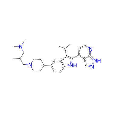 CC(CN(C)C)CN1CCC(c2ccc3[nH]c(-c4ccnc5[nH]ncc45)c(C(C)C)c3c2)CC1